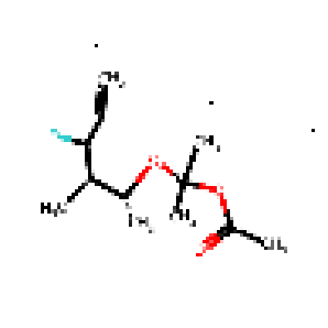 C=CC(F)[C@H](C)[C@@H](C)OC(C)(C)OC(C)=O